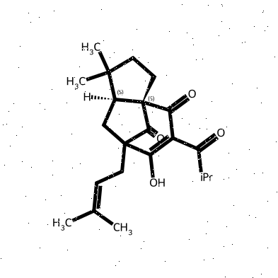 CC(C)=CCC12C[C@H]3C(C)(C)CC[C@@]3(C(=O)C(C(=O)C(C)C)=C1O)C2=O